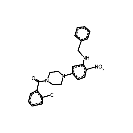 O=C(c1ccccc1Cl)N1CCN(c2ccc([N+](=O)[O-])c(NCc3ccccc3)c2)CC1